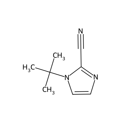 CC(C)(C)n1ccnc1C#N